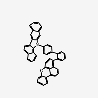 c1ccc2c(c1)Oc1ccc(-c3ccccc3-c3ccc(-n4c5cc6ccccc6cc5c5ccc6ccccc6c54)cc3)c3cccc-2c13